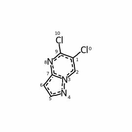 Clc1cn2nccc2nc1Cl